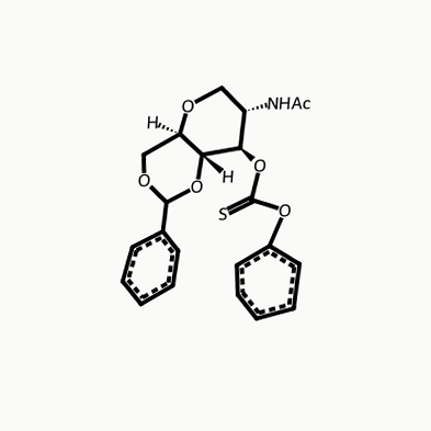 CC(=O)N[C@H]1CO[C@@H]2COC(c3ccccc3)O[C@H]2[C@@H]1OC(=S)Oc1ccccc1